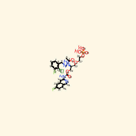 CC(=O)N(NCc1cccc(F)c1Cl)[C@@H](COCCOP(=O)(O)O)COC(=O)Nc1cc2cc(F)ccc2cn1